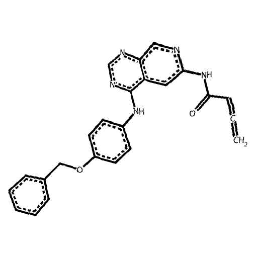 C=C=CC(=O)Nc1cc2c(Nc3ccc(OCc4ccccc4)cc3)ncnc2cn1